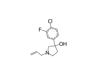 C=CCN1CCC(O)(c2ccc(Cl)c(F)c2)C1